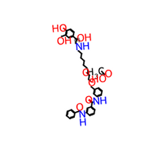 CC(=O)O.O=C(Nc1cccc(C(=O)Nc2cccc(COCCOCCCCCCNC[C@H](O)c3ccc(O)c(CO)c3)c2)c1)c1ccccc1